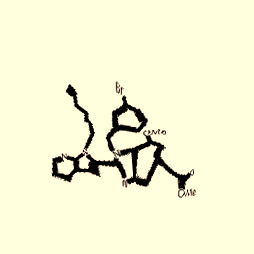 C=CCCCCn1c(-c2nc3cc(C(=O)OC)cc(OC)c3n2Cc2cccc(Br)c2)cc2c1N=CCC2